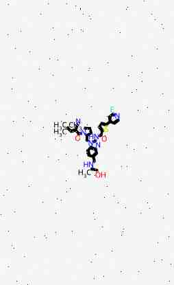 CC(CO)NCc1ccc2c(c1)nc(NC(=O)c1ccc(-c3ccnc(F)c3)s1)n2CC1CCCN1C(=O)C(C#N)=CC(C)(C)C